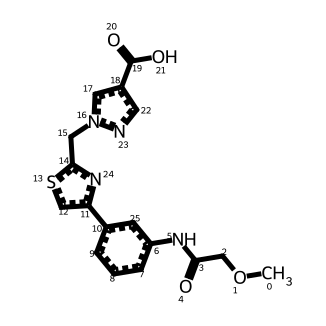 COCC(=O)Nc1cccc(-c2csc(Cn3cc(C(=O)O)cn3)n2)c1